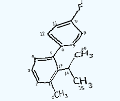 Cc1cccc(-c2ccc(F)cc2)c1C(C)C